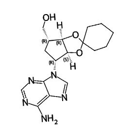 Nc1ncnc2c1ncn2[C@@H]1C[C@H](CO)[C@H]2OC3(CCCCC3)O[C@H]21